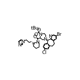 CC(C)(C)OC(=O)N1CCN(C2c3ccc(Cl)cc3CCc3cc(Br)cnc32)CC1C(=O)N1CCCC[C@@H]1CCCn1ccnc1